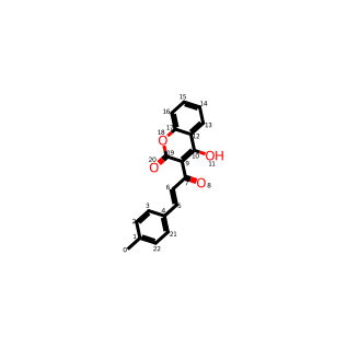 Cc1ccc(/C=C/C(=O)c2c(O)c3ccccc3oc2=O)cc1